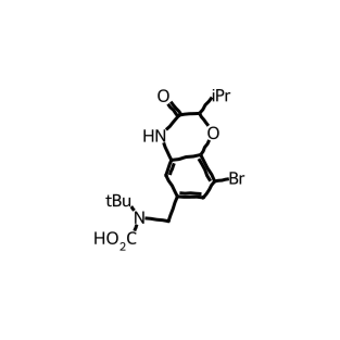 CC(C)C1Oc2c(Br)cc(CN(C(=O)O)C(C)(C)C)cc2NC1=O